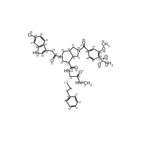 CNC(=O)[C@H](CCCc1ccccc1)NC(=O)C1CN(C(=O)Cc2c[nH]c3cc(Cl)ccc23)CC2CN(C(=O)c3ccc(S(N)(=O)=O)c(OC)c3)CC21